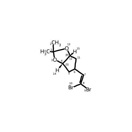 CC1(C)O[C@H]2CC(C=C(Br)Br)C[C@H]2O1